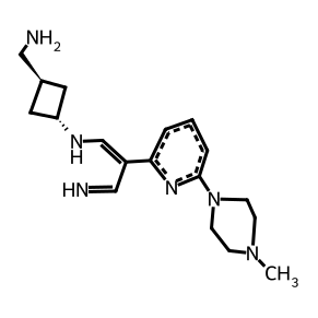 CN1CCN(c2cccc(/C(C=N)=C/N[C@H]3C[C@H](CN)C3)n2)CC1